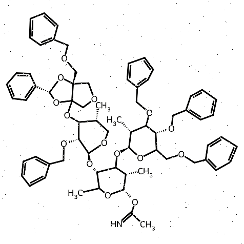 CC(=N)O[C@@H]1OC(C)[C@H](O[C@@H]2OC[C@@H](C)C(OC34COC[C@@]3(COCc3ccccc3)O[C@@H](c3ccccc3)O4)[C@H]2OCc2ccccc2)C(O[C@@H]2OC(COCc3ccccc3)[C@@H](OCc3ccccc3)C(OCc3ccccc3)[C@H]2C)[C@@H]1C